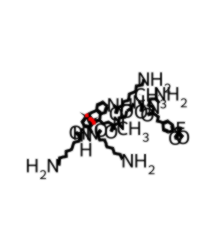 CN(CCOCCN(C)C(=O)[C@@H]1C[C@H](N)CN1C(=O)CCc1ccc(S(=O)(=O)F)cc1)C(=O)CCC12c3cc(NC(=O)CCCCCCCN)ccc3C(C3=CC=C(NC(=O)CCCCCCCN)C1C3)c1ccc(NC(=O)CCCCCCCN)cc12